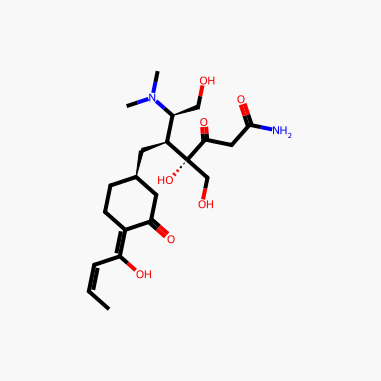 C/C=C\C(O)=C1/CC[C@@H](C[C@@H]([C@H](CO)N(C)C)[C@](O)(CO)C(=O)CC(N)=O)CC1=O